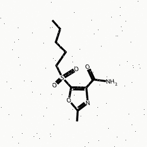 CCCCCS(=O)(=O)c1oc(C)nc1C(N)=O